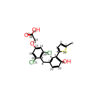 Cc1ccc(-c2cc(Cc3c(Cl)cc(OCC(=O)O)cc3Cl)ccc2O)s1